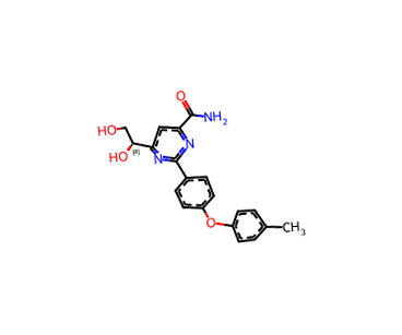 Cc1ccc(Oc2ccc(-c3nc(C(N)=O)cc([C@@H](O)CO)n3)cc2)cc1